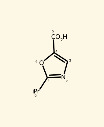 CC(C)c1ncc(C(=O)O)o1